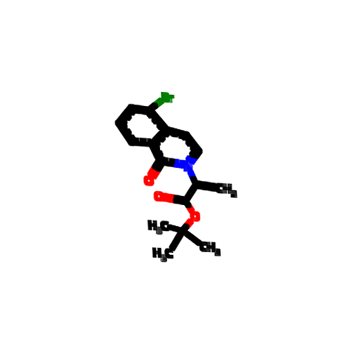 C=C(C(=O)OC(C)(C)C)n1ccc2c(Br)cccc2c1=O